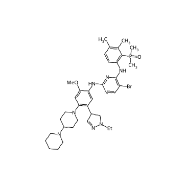 CCN1CC(c2cc(Nc3ncc(Br)c(Nc4ccc(C)c(C)c4P(C)(C)=O)n3)c(OC)cc2N2CCC(N3CCCCC3)CC2)C=N1